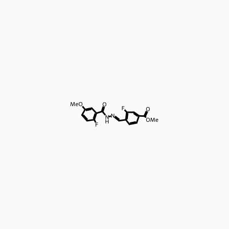 COC(=O)c1ccc(/C=N/NC(=O)c2cc(OC)ccc2F)c(F)c1